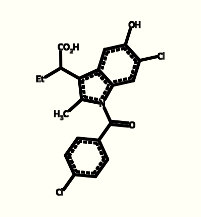 CCC(C(=O)O)c1c(C)n(C(=O)c2ccc(Cl)cc2)c2cc(Cl)c(O)cc12